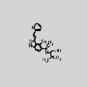 COc1c(C(=O)NC(CO)C(C)C)ccc2[nH]nc(/C=C/c3ccccn3)c12